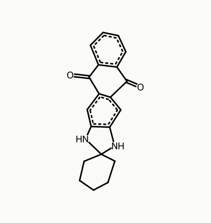 O=C1c2ccccc2C(=O)c2cc3c(cc21)NC1(CCCCC1)N3